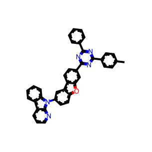 Cc1ccc(-c2nc(-c3ccccc3)nc(-c3ccc4c(c3)oc3ccc(-n5c6ccccc6c6cccnc65)cc34)n2)cc1